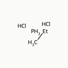 CCC.Cl.Cl.P